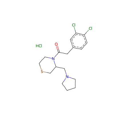 Cl.O=C(Cc1ccc(Cl)c(Cl)c1)N1CCSCC1CN1CCCC1